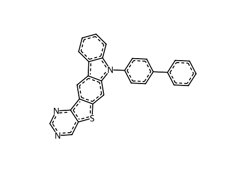 c1ccc(-c2ccc(-n3c4ccccc4c4cc5c(cc43)sc3cncnc35)cc2)cc1